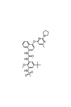 COc1c(NC(=O)Nc2ccc(Oc3cc(C)nc(N4CCCC4)n3)c3ccccc23)cc(C(C)(C)C)cc1NS(C)(=O)=O